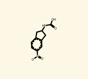 O=C(O)NC1Cc2ccc([N+](=O)[O-])cc2C1